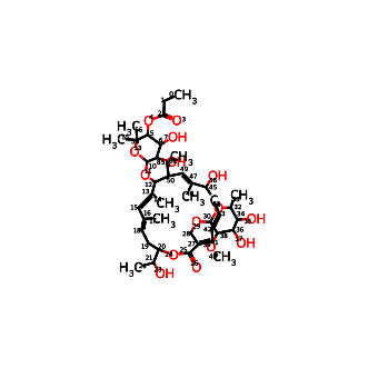 CCC(=O)OC1C(O)C(O)C(OC2/C(C)=C/C(C)=C/CC(C(C)O)OC(=O)/C(COC3OC(C)C(O)C(O)C3OC)=C/C=C/CC(O)/C(C)=C/C2CC)OC1(C)C